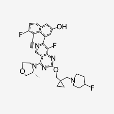 C#Cc1c(F)ccc2cc(O)cc(-c3ncc4c(N5CCOC[C@H]5C)nc(OCC5(CN6CCC(F)CC6)CC5)nc4c3F)c12